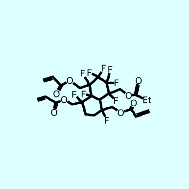 C=CC(=O)OCC1(F)CCC(F)(COC(=O)C=C)C2(F)C1C(F)(COC(=O)CC)C(F)(F)C(F)(F)C2(F)COC(=O)C=C